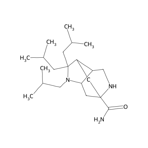 CC(C)CN1C2CC3(C(N)=O)CC(C2CN3)C1(CC(C)C)CC(C)C